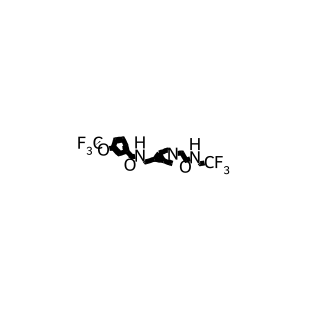 O=C(CN1CC2C(CNC(=O)c3cccc(OC(F)(F)F)c3)C2C1)NCC(F)(F)F